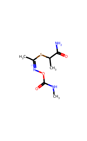 CNC(=O)O/N=C(/C)SC(C)C(N)=O